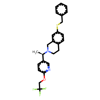 C[C@H](c1ccc(OCC(F)(F)F)nc1)N1CCc2ccc(SCc3ccccc3)cc2C1